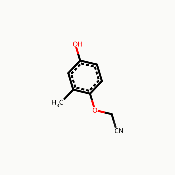 Cc1cc(O)ccc1OCC#N